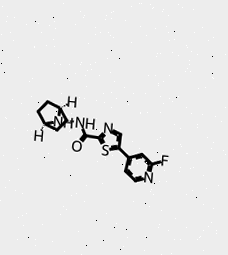 O=C(N[C@@H]1C[C@H]2CC[C@@H]1N2)c1ncc(-c2ccnc(F)c2)s1